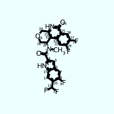 CN(C(=O)c1cc2cc(F)c(C(F)F)cc2[nH]1)[C@@H]1COCc2[nH]c(=O)c3cc(F)c(F)cc3c21